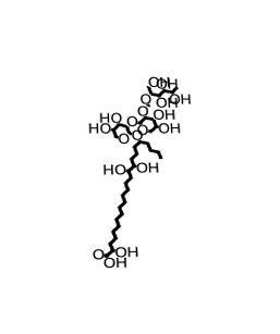 CCCCC(CCCC(O)C(O)CCCCCCCCCCCCC(O)C(=O)O)OC1OCC(O)C(O)C1OC1OCC(O)C(O)C1OCOC(CO)C(O)C(O)C(C)O